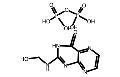 O=P(O)(O)OP(=O)(O)O.O=c1[nH]c(NCO)nc2nccnc12